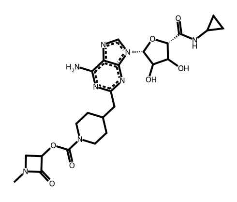 CN1CC(OC(=O)N2CCC(Cc3nc(N)c4ncn([C@@H]5O[C@H](C(=O)NC6CC6)C(O)C5O)c4n3)CC2)C1=O